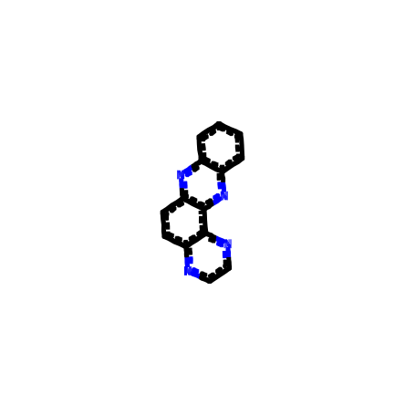 c1ccc2nc3c(ccc4nccnc43)nc2c1